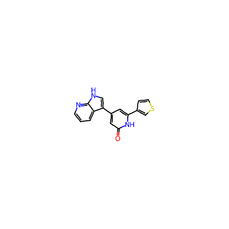 O=c1cc(-c2c[nH]c3ncccc23)cc(-c2ccsc2)[nH]1